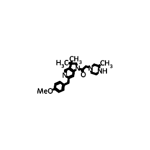 COc1ccc(Cc2cc3c(cn2)C(C)(C)CN3C(=O)CN2CCNC(C)C2)cc1